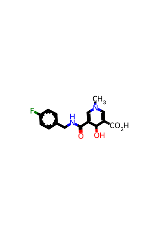 CN1C=C(C(=O)O)C(O)C(C(=O)NCc2ccc(F)cc2)=C1